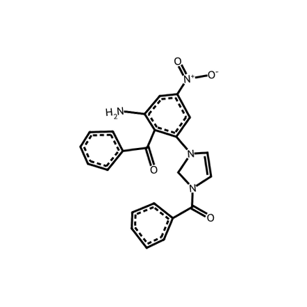 Nc1cc([N+](=O)[O-])cc(N2C=CN(C(=O)c3ccccc3)C2)c1C(=O)c1ccccc1